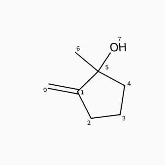 C=C1CCCC1(C)O